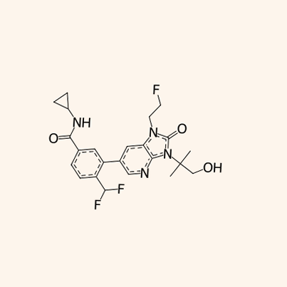 CC(C)(CO)n1c(=O)n(CCF)c2cc(-c3cc(C(=O)NC4CC4)ccc3C(F)F)cnc21